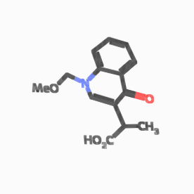 COCn1cc(C(C)C(=O)O)c(=O)c2ccccc21